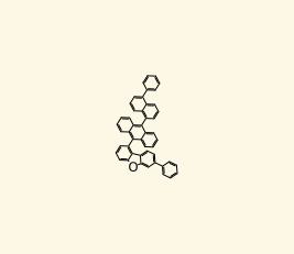 c1ccc(-c2ccc3c(c2)oc2cccc(-c4c5ccccc5c(-c5cccc6c(-c7ccccc7)cccc56)c5ccccc45)c23)cc1